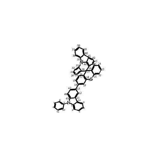 c1ccc(-n2c3ccccc3c3cc(-c4ccc5c(c4)Sc4ccccc4C54c5ccccc5-n5c6ccccc6c6cccc4c65)ccc32)cc1